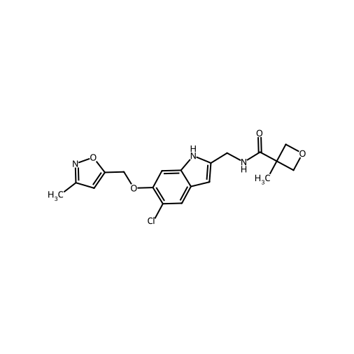 Cc1cc(COc2cc3[nH]c(CNC(=O)C4(C)COC4)cc3cc2Cl)on1